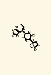 C/C=C(/c1ccc(-c2ccco2)cc1)c1ccsc1